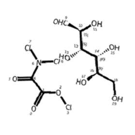 O=C(OCl)C(=O)N(Cl)Cl.O=C[C@@H](O)[C@@H](O)[C@H](O)[C@H](O)CO